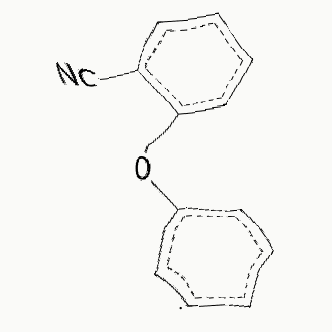 N#Cc1ccccc1Oc1c[c]ccc1